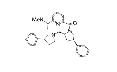 CNC(C)c1cccc(C(=O)N2C[C@@H](c3ccccc3)C[C@H]2CN2CC[C@H](c3ccccc3)C2)n1